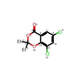 CCC1(CC)OC(=O)c2cc(Cl)cc(Cl)c2O1